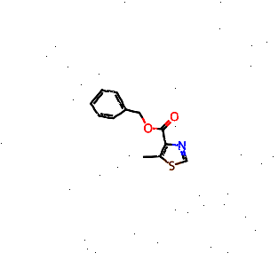 Cc1scnc1C(=O)OCc1ccccc1